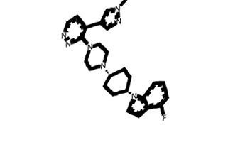 Cn1cc(-c2ccnnc2N2CCN([C@H]3CC[C@@H](n4ccc5c(F)cccc54)CC3)CC2)cn1